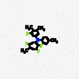 CC1=CC(F)C(F)=C(N(c2ccc(C)cc2)c2cc(C)c(C)c(F)c2)C=C1F